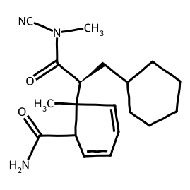 CN(C#N)C(=O)[C@@H](CC1CCCCC1)C1(C)C=CC=CC1C(N)=O